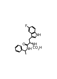 CC(NC(=O)C(Cc1c[nH]c2ccc(F)cc12)NC(=O)O)c1ccccc1